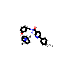 COc1ccc(-c2ccc(C(=O)NCc3cccc(O[C@H]4C[C@H]5CC[C@@H](C4)N5C)c3)cn2)cc1